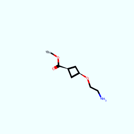 CC(C)(C)OC(=O)[C@H]1C[C@@H](OCCN)C1